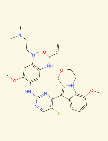 C=CC(=O)Nc1cc(Nc2ncc(F)c(-c3c4n(c5c(OC)cccc35)CCOC4)n2)c(OC)cc1N(C)CCN(C)C